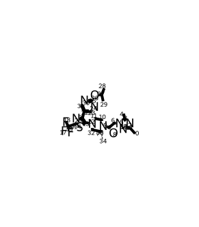 Cc1nc(C)n(CC(=O)N2CCN(c3sc(C(F)(F)F)nc3-c3cnc(OC(C)C)nc3)C[C@H]2C)n1